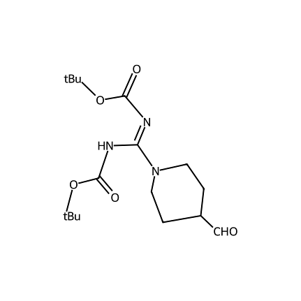 CC(C)(C)OC(=O)N=C(NC(=O)OC(C)(C)C)N1CCC(C=O)CC1